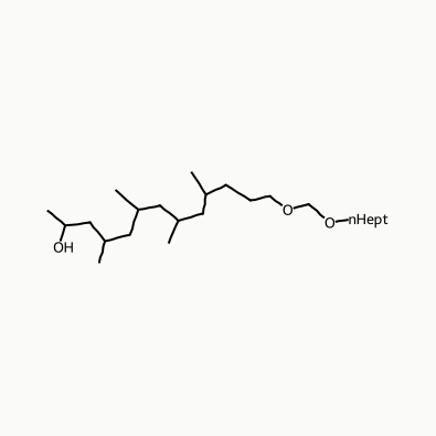 CCCCCCCOCOCCCC(C)CC(C)CC(C)CC(C)CC(C)O